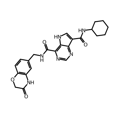 O=C1COc2ccc(CNC(=O)c3ncnc4c(C(=O)NC5CCCCC5)c[nH]c34)cc2N1